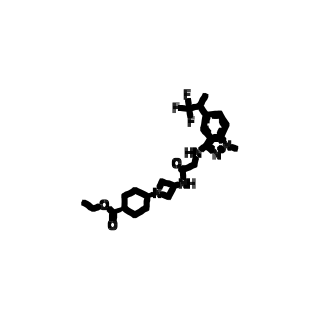 CCOC(=O)[C@H]1CC[C@@H](N2CC(NC(=O)CNc3nn(C)c4ccc(C(C)C(F)(F)F)cc34)C2)CC1